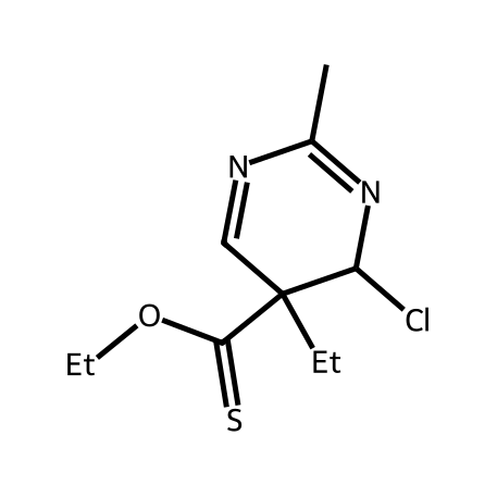 CCOC(=S)C1(CC)C=NC(C)=NC1Cl